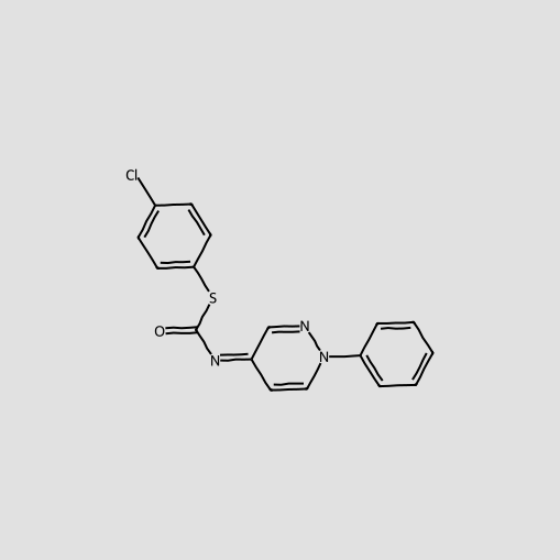 O=C(N=c1ccn(-c2ccccc2)nc1)Sc1ccc(Cl)cc1